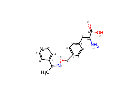 C/C(=N/OCc1ccc(CC(N)C(=O)O)cc1)c1ccccc1